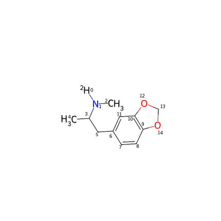 [2H]N(C)C(C)Cc1ccc2c(c1)OCO2